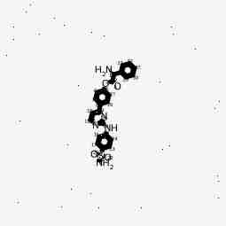 N[C@H](C(=O)Oc1ccc(-c2ccnc(Nc3ccc(S(N)(=O)=O)cc3)n2)cc1)c1ccccc1